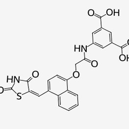 O=C(COc1ccc(C=C2SC(=O)NC2=O)c2ccccc12)Nc1cc(C(=O)O)cc(C(=O)O)c1